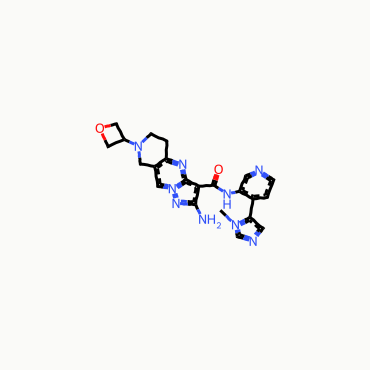 Cn1cncc1-c1ccncc1NC(=O)c1c(N)nn2cc3c(nc12)CCN(C1COC1)C3